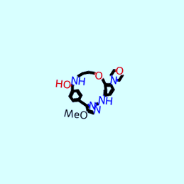 COc1cnc2nc1-c1ccc(cc1)C(O)NCCCCOCc1cc(ccc1N1CCOCC1)N2